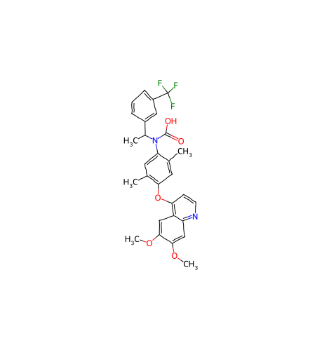 COc1cc2nccc(Oc3cc(C)c(N(C(=O)O)C(C)c4cccc(C(F)(F)F)c4)cc3C)c2cc1OC